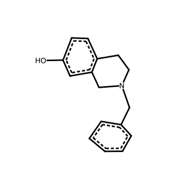 Oc1ccc2c(c1)CN(Cc1ccccc1)CC2